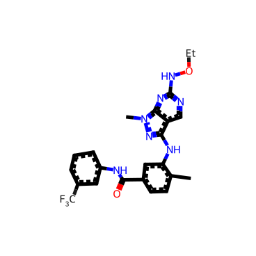 CCONc1ncc2c(Nc3cc(C(=O)Nc4cccc(C(F)(F)F)c4)ccc3C)nn(C)c2n1